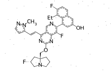 CCc1c(F)ccc2cc(O)cc(-c3ncc4c(/C=C/c5ccnn5C)nc(OC[C@@]56CCCN5C[C@H](F)C6)nc4c3F)c12